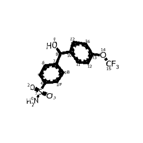 NS(=O)(=O)c1ccc(C(O)c2ccc(OC(F)(F)F)cc2)cc1